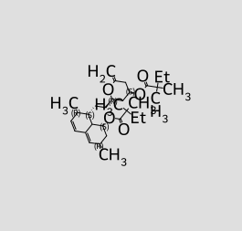 C=C1C[C@@H](OC(=O)C(C)(C)CC)C[C@@H](CC[C@@H]2C3C(=C[C@H](C)C[C@@H]3OC(=O)C(C)(C)CC)C=C[C@@H]2C)O1